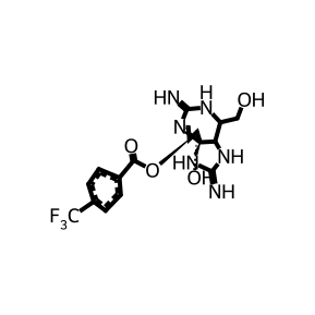 N=C1NC2C(CO)NC(=N)N3C[C@H](OC(=O)c4ccc(C(F)(F)F)cc4)[C@H](O)[C@]23N1